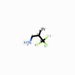 CC(C)C(CN)C(F)(F)F